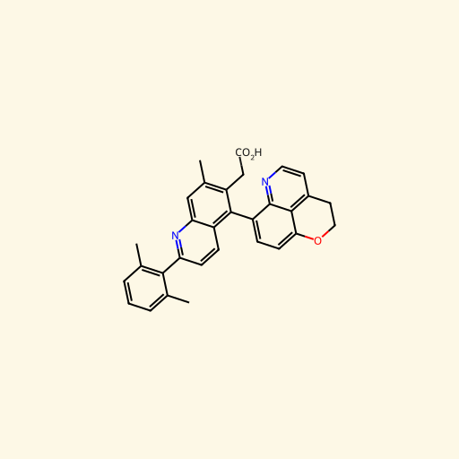 Cc1cc2nc(-c3c(C)cccc3C)ccc2c(-c2ccc3c4c(ccnc24)CCO3)c1CC(=O)O